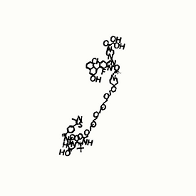 Cc1ncsc1-c1ccc([C@H](C)NC(=O)[C@@H]2C[C@@H](O)CN2C(=O)[C@@H](NC(=O)COCCOCCOCCOCCOCCOC2CCN(C[C@@H](C)Oc3nc(N4CCN(C(=O)C(O)O)CC4)c4cc(Cl)c(-c5cc(O)cc6ccccc56)c(F)c4n3)CC2)C(C)(C)C)cc1